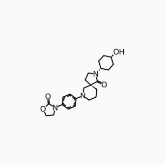 O=C1OCCN1c1ccc(N2CCC[C@]3(CCN([C@H]4CC[C@H](O)CC4)C3=O)C2)cc1